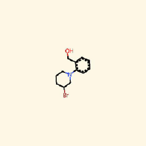 OCc1ccccc1N1CCCC(Br)C1